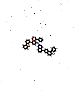 c1ccc(-c2ccccc2N(c2ccc(-c3cccc4c3sc3ccccc34)cc2)c2ccc3c(-c4ccc5c(ccc6oc7ccccc7c65)c4)cccc3c2)cc1